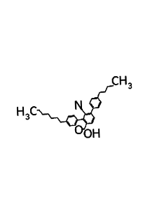 CCCCCCCc1ccc(-c2c(C(=O)O)ccc(-c3ccc(CCCCC)cc3)c2C#N)cc1